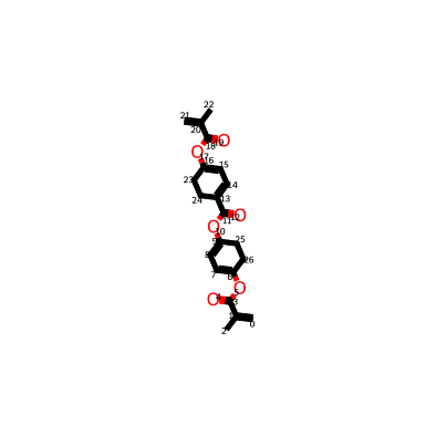 C=C(C)C(=O)OC1=CC=C(OC(=O)C2=CC=C(OC(=O)C(=C)C)CC2)CC1